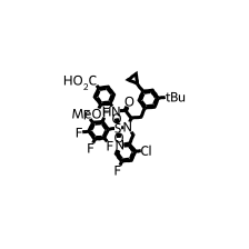 COc1cc(C(=O)O)ccc1NC(=O)C(Cc1cc(C2CC2)cc(C(C)(C)C)c1)N(Cc1ncc(F)cc1Cl)S(=O)(=O)c1c(F)c(F)c(F)c(F)c1F